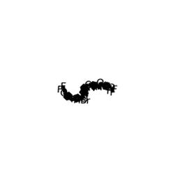 Br.CN(C(=O)c1ccc(OC(F)(F)F)cc1)c1ccc(Oc2ccc3cc(C(=O)N4CCN(Cc5ccc(OCC(F)F)cc5)CC4)n(C)c3c2)nc1